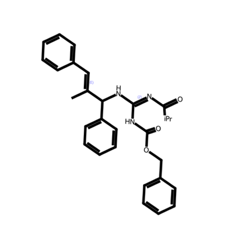 C/C(=C\c1ccccc1)C(N/C(=N/C(=O)C(C)C)NC(=O)OCc1ccccc1)c1ccccc1